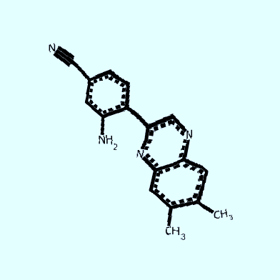 Cc1cc2ncc(-c3ccc(C#N)cc3N)nc2cc1C